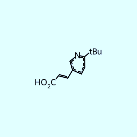 CC(C)(C)c1ccc(/C=C/C(=O)O)cn1